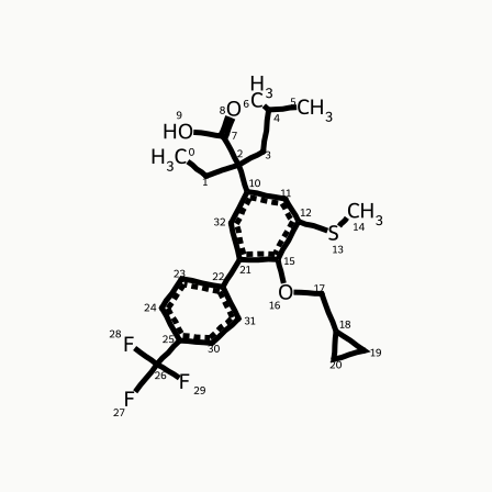 CCC(CC(C)C)(C(=O)O)c1cc(SC)c(OCC2CC2)c(-c2ccc(C(F)(F)F)cc2)c1